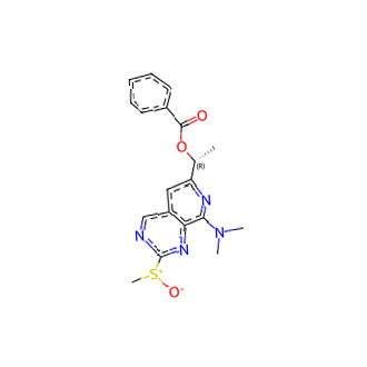 C[C@@H](OC(=O)c1ccccc1)c1cc2cnc([S+](C)[O-])nc2c(N(C)C)n1